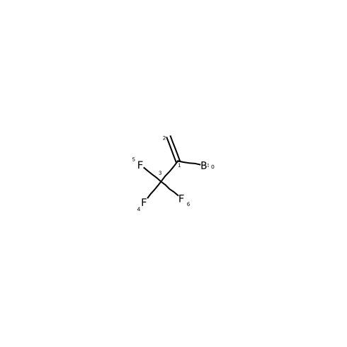 [B]C(=C)C(F)(F)F